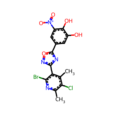 Cc1nc(Br)c(-c2noc(-c3cc(O)c(O)c([N+](=O)[O-])c3)n2)c(C)c1Cl